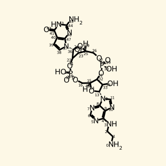 NCCNc1ncnc2c1ncn2[C@@H]1O[C@@H]2COP(=O)(O)OC3C(O)[C@@H](CO[P@@](=O)(O)OC2C1O)O[C@H]3n1ccc2c(=O)[nH]c(N)nc21